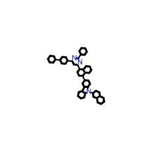 c1ccc(-c2ccc(-c3cc(-c4ccc(-c5ccc6c(c5)c5ccccc5n6-c5ccc6ccccc6c5)c5ccccc45)nc(-c4ccccc4)n3)cc2)cc1